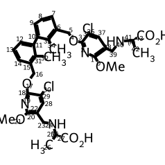 COc1nc(OCc2cccc(-c3cccc(COc4nc(OC)c(CN[C@H](C)C(=O)O)cc4Cl)c3C)c2C)c(Cl)cc1CN[C@H](C)C(=O)O